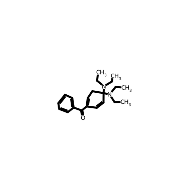 CCN(CC)C1(N(CC)CC)C=CC(C(=O)c2ccccc2)=CC1